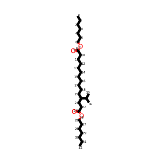 CCCCCCCOC(=O)CCCCCCCCCCC(CCC(=O)OCCCCCCC)C(C)C